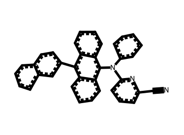 N#Cc1cccc(N(c2ccccc2)c2c3ccccc3c(-c3ccc4ccccc4c3)c3ccccc23)n1